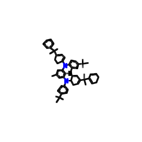 Cc1cc2c3c(c1)N(c1ccc(C(C)(C)C)cc1)C1CC=C(C(C)(C)C4=CCCC=C4)C=C1B3c1cc(C(C)(C)C)ccc1N2C1=CC=C(C(C)(C)c2ccccc2)CC1